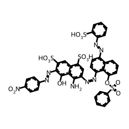 Nc1c(N=Nc2ccc(N=Nc3ccccc3S(=O)(=O)O)c3cccc(OS(=O)(=O)c4ccccc4)c23)cc(S(=O)(=O)O)c2cc(S(=O)(=O)O)c(N=Nc3ccc([N+](=O)[O-])cc3)c(O)c12